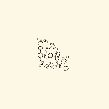 CC(=O)O[C@H](CN(CC(F)F)S(=O)(=O)c1ccc2ncsc2c1)[C@H](Cc1ccccc1)NC(=O)O[C@H]1CO[C@@]2(COC(=O)NCc3ccc(-c4sc5c(c4C(=O)OCC(C)C)CC(C)(C)CC5)cc3)OCC[C@@H]12